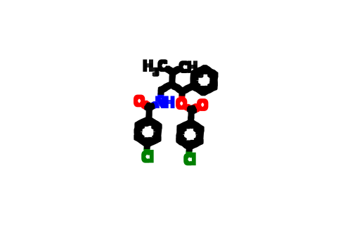 CC(C)C(CNC(=O)c1ccc(Cl)cc1)C(OC(=O)c1ccc(Cl)cc1)c1ccccc1